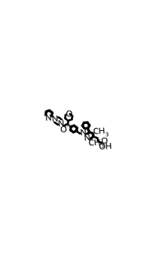 Cc1nc2c(c(C)c1CCC(=O)O)c1ccccc1n2Cc1ccc([C@@H](C(=O)N2CCN(c3ccccn3)CC2)C2CCOCC2)cc1